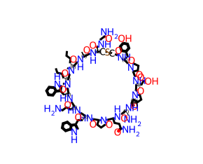 CCCC[C@@H]1C(=O)N(C)[C@H](CCCC)C(=O)N[C@@H](C)C(=O)N[C@@H](C(=O)NCC(N)=O)CSCC(=O)N[C@@H](Cc2ccc(O)cc2)C(=O)N2CCCC2C(=O)N[C@H](CC(=O)O)C(=O)N2CCC[C@H]2C(=O)N[C@H](CN)C(=O)NC(CCC(N)=O)C(=O)N2CCCC2C(=O)N[C@H](CCc2c[nH]c3ccccc23)C(=O)N[C@@H](CCCN)C(=O)N[C@@H](Cc2c[nH]c3ccccc23)C(=O)N1C